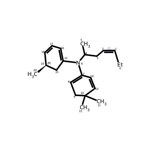 CC/C=C\CC(C)N(C1=CCC(C)(C)C=C1)C1=CC=C[C@H](C)C1